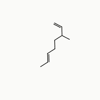 C=CC(C)CCC=CC